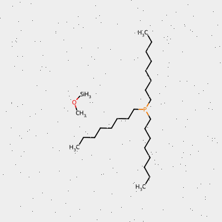 CCCCCCCCP(CCCCCCCC)CCCCCCCC.CO[SiH3]